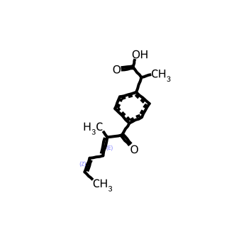 C/C=C\C=C(/C)C(=O)c1ccc(C(C)C(=O)O)cc1